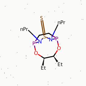 CCCN1P2CCP(O[C@H](CC)[C@H](CC)O2)N(CCC)S1=S